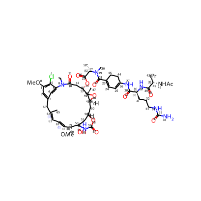 COc1cc2cc(c1Cl)N(C)C(=O)C[C@H](OC(=O)[C@H](C)N(C)C(=O)C1=CC=C(NC(=O)[C@H](CCCNC(N)=O)NC(=O)[C@@H](NC(C)=O)C(C)C)CC1)[C@]1(C)O[C@H]1C[C@@H]1C[C@@](O)(NC(=O)O1)[C@H](OC)/C=C/C=C(\C)C2